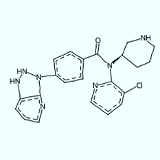 O=C(c1ccc(N2NNc3cccnc32)cc1)N(c1ncccc1Cl)[C@@H]1CCCNC1